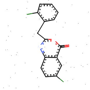 O=c1oc(Cc2ccccc2Cl)nc2ccc(Cl)cc12